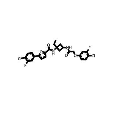 CCC1(NC(=O)c2ccc(-c3ccc(Cl)c(F)c3)o2)CC(NC(=O)COc2ccc(Cl)c(F)c2)C1